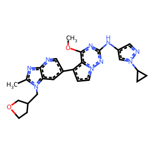 COc1nc(Nc2cnn(C3CC3)c2)nn2ccc(-c3cnc4nc(C)n(CC5CCOC5)c4c3)c12